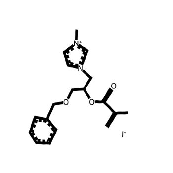 C=C(C)C(=O)OC(COCc1ccccc1)Cn1cc[n+](C)c1.[I-]